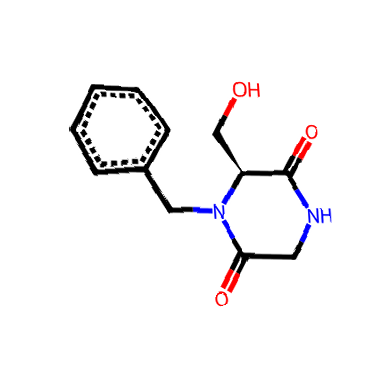 O=C1NCC(=O)N(Cc2ccccc2)[C@H]1CO